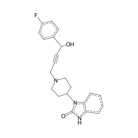 O=c1[nH]c2ccccc2n1C1CCN(CC#CC(O)c2ccc(F)cc2)CC1